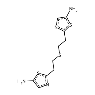 Nc1cnc(CCSCCc2ncc(N)s2)s1